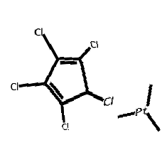 Cl[C]1C(Cl)=C(Cl)C(Cl)=C1Cl.[CH3][Pt]([CH3])[CH3]